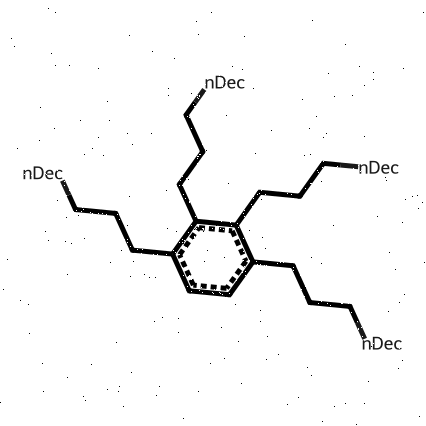 CCCCCCCCCCCCCc1ccc(CCCCCCCCCCCCC)c(CCCCCCCCCCCCC)c1CCCCCCCCCCCCC